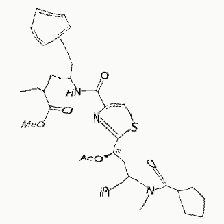 COC(=O)C(C)CC(Cc1ccccc1)NC(=O)c1csc([C@@H](CC(C(C)C)N(C)C(=O)C2CCCC2)OC(C)=O)n1